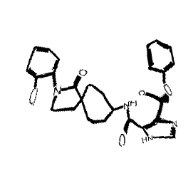 O=C(Oc1ccccc1)c1nc[nH]c1C(=O)NC1CCC2(CC1)CCN(c1ccccc1Cl)C2=O